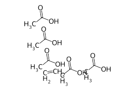 C=C.CC(=O)O.CC(=O)O.CC(=O)O.CC(=O)O.CC(=O)O